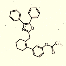 CC(=O)Oc1cccc(C2=C(Cc3nc(-c4ccccc4)c(-c4ccccc4)o3)CCCC2)c1